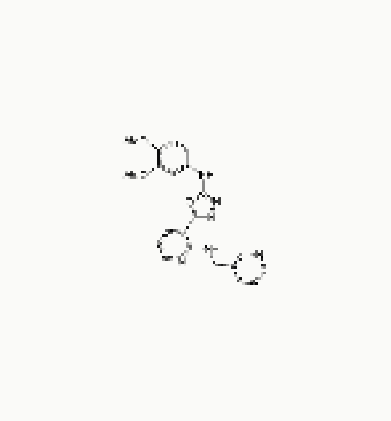 COc1ccc(Nc2nnc(-c3cccnc3NCc3cccnc3)o2)cc1OC